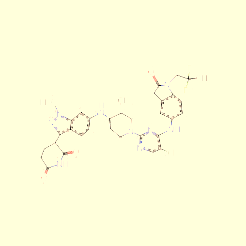 C[C@@H]1CN(c2ncc(Cl)c(Nc3ccc4c(c3)CC(=O)N4CC(C)(F)F)n2)CC[C@H]1Nc1ccc2c(C3CCC(=O)NC3=O)nn(C)c2c1